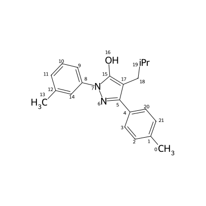 Cc1ccc(-c2nn(-c3cccc(C)c3)c(O)c2CC(C)C)cc1